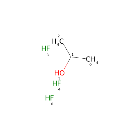 CC(C)O.F.F.F